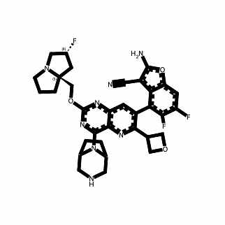 N#Cc1c(N)oc2cc(F)c(F)c(-c3cc4nc(OC[C@@]56CCCN5C[C@H](F)C6)nc(N5C6CCC5CNC6)c4nc3C3COC3)c12